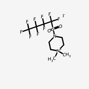 C[N+]1(C)CCN(S(=O)(=O)C(F)(F)C(F)(F)C(F)(F)C(F)(F)F)CC1.[I-]